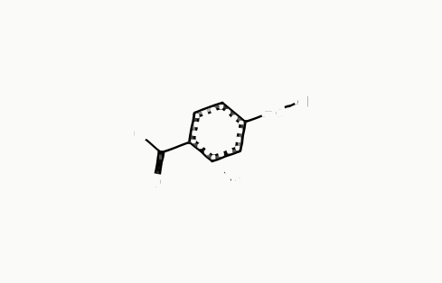 O=C([O-])c1cc[c]([Hg][Cl])cc1.[Na+]